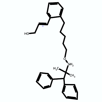 CC(C)([SiH2]OCCCCCc1ccccc1/C=C/CO)C(c1ccccc1)c1ccccc1